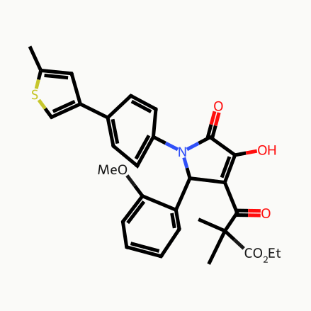 CCOC(=O)C(C)(C)C(=O)C1=C(O)C(=O)N(c2ccc(-c3csc(C)c3)cc2)C1c1ccccc1OC